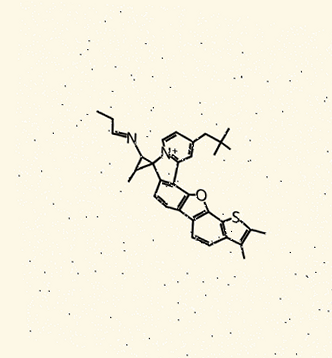 CCC=NC1C(C)C12c1ccc3c(oc4c3ccc3c(C)c(C)sc34)c1-c1cc(CC(C)(C)C)cc[n+]12